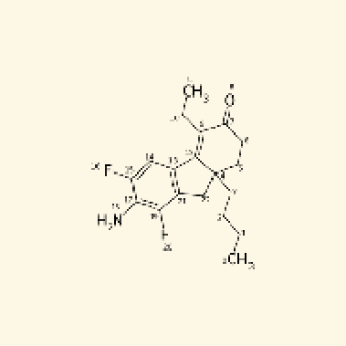 CCCCC12CCC(=O)C(CC)=C1c1cc(F)c(N)c(F)c1C2